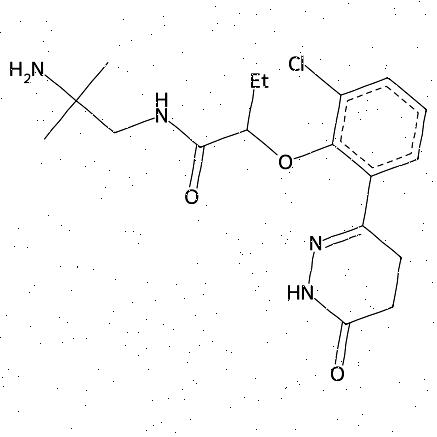 CCC(Oc1c(Cl)cccc1C1=NNC(=O)CC1)C(=O)NCC(C)(C)N